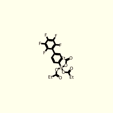 CCC(=O)O[Si](OC(=O)CC)(OC(=O)CC)c1ccc(-c2c(F)c(F)c(F)c(F)c2F)cc1